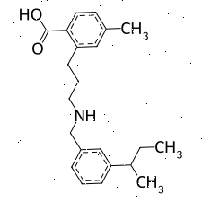 CCC(C)c1cccc(CNCCCc2cc(C)ccc2C(=O)O)c1